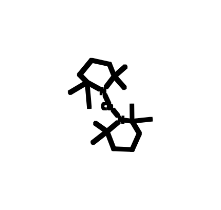 CC1(C)CCCC(C)(C)[N]1[Co][N]1C(C)(C)CCCC1(C)C